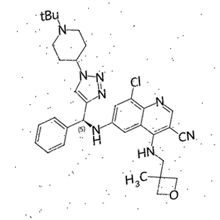 CC1(CNc2c(C#N)cnc3c(Cl)cc(N[C@@H](c4ccccc4)c4cn(C5CCN(C(C)(C)C)CC5)nn4)cc23)COC1